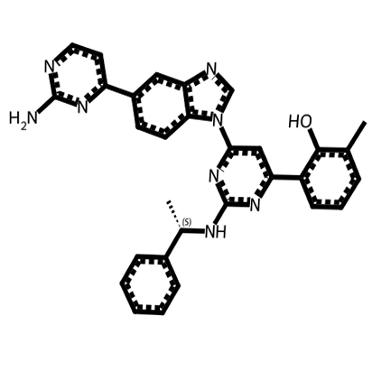 Cc1cccc(-c2cc(-n3cnc4cc(-c5ccnc(N)n5)ccc43)nc(N[C@@H](C)c3ccccc3)n2)c1O